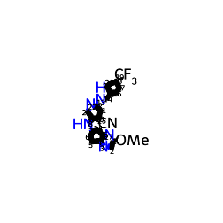 COc1cnc2ccc(Nc3ccc(NCc4ccc(C(F)(F)F)cc4)nc3)c(C#N)c2n1